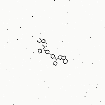 C1=C(N(c2ccccc2)c2ccc(-c3ccc(N(c4ccccc4)c4ccc5ccc6ccccc6c5c4)cc3)cc2)CCc2ccc3ccccc3c21